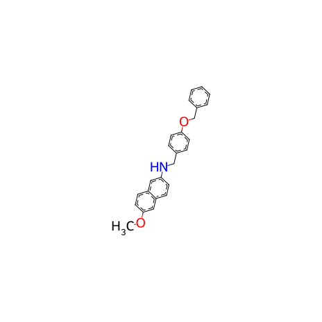 COc1ccc2cc(NCc3ccc(OCc4ccccc4)cc3)ccc2c1